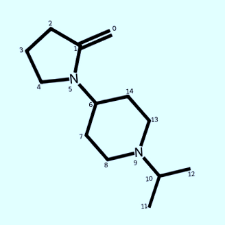 C=C1CCCN1C1CCN(C(C)C)CC1